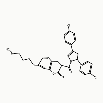 N#C[Se]CCCOc1ccc2c(c1)OC(=O)C(C(=O)N1N=C(c3ccc(Cl)cc3)CC1c1ccc(Cl)cc1)C2